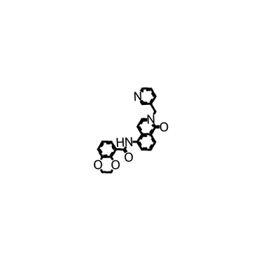 O=C(Nc1cccc2c(=O)n(Cc3cccnc3)ccc12)c1cccc2c1OCCO2